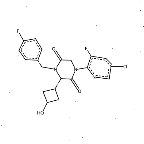 O=C1C(C2CC(O)C2)N(Cc2ccc(F)cc2)C(=O)CN1c1ncc(Cl)cc1F